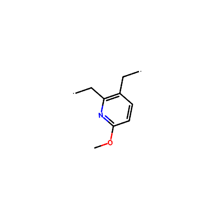 [CH2]Cc1ccc(OC)nc1C[CH2]